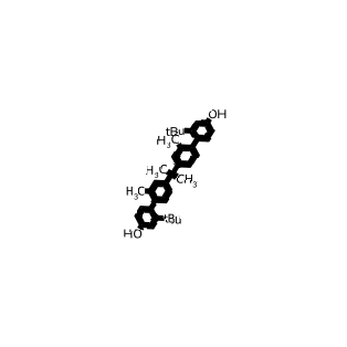 Cc1cc(C(C)(C)c2ccc(-c3ccc(O)cc3C(C)(C)C)c(C)c2)ccc1-c1ccc(O)cc1C(C)(C)C